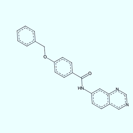 O=C(Nc1ccc2cncnc2c1)c1ccc(OCc2ccccc2)cc1